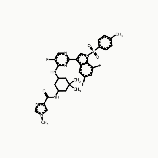 Cc1ccc(S(=O)(=O)n2cc(-c3ncc(F)c(NC4CC(NC(=O)c5cn(C)cn5)CC(C)(C)C4)n3)c3cc(F)cc(F)c32)cc1